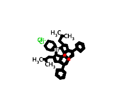 CC(C)CC1=Cc2c(-c3ccccc3)cccc2[CH]1[Ti+2]1([CH]2C(CC(C)C)=Cc3c(-c4ccccc4)cccc32)[CH]2CCCC[CH]21.[Cl-].[Cl-]